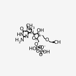 C#CCOCC[C@H]1[C@@H](O)[C@H](n2c[n+](C)c3c(=O)[nH]c(N)nc32)O[C@@H]1COP(=O)(O)OP(=O)([O-])O